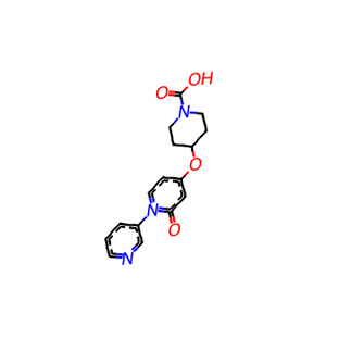 O=C(O)N1CCC(Oc2ccn(-c3cccnc3)c(=O)c2)CC1